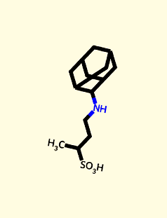 CC(CCNC1C2CC3CC(C2)CC1C3)S(=O)(=O)O